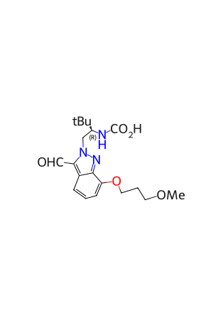 COCCCOc1cccc2c(C=O)n(C[C@H](NC(=O)O)C(C)(C)C)nc12